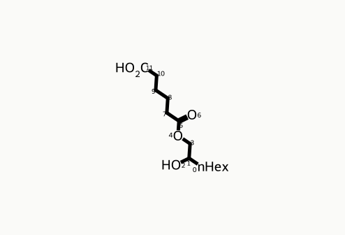 CCCCCCC(O)COC(=O)CCCCC(=O)O